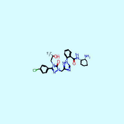 N[C@@H]1CCCC[C@@H]1NC(=O)c1ccccc1-n1cnc(Cn2nc(-c3ccc(Cl)cc3)n(C[C@H](O)C(F)(F)F)c2=O)n1